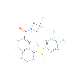 O=C(c1cnc2c(c1)N(S(=O)(=O)c1ccc(Cl)c(Cl)c1)CCO2)N1CC(F)(F)C1